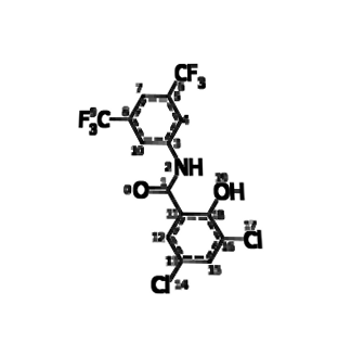 O=C(Nc1cc(C(F)(F)F)cc(C(F)(F)F)c1)c1cc(Cl)cc(Cl)c1O